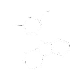 Sc1cccc(Cl)c1.c1ccc2c3c(oc2c1)CNCC3